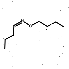 [CH2]CC/C=N\OCCCC